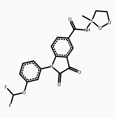 CS1(NC(=O)c2ccc3c(c2)C(=O)C(=O)N3c2cccc(OC(F)F)c2)CCOO1